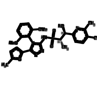 COc1cccc(OC)c1-n1c(NS(=O)(=O)[C@@H](C)[C@@H](O)c2ccc(C#N)c(C)n2)nnc1-c1ccc(C)o1